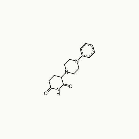 O=C1CCC(N2CCN(c3ccccc3)CC2)C(=O)N1